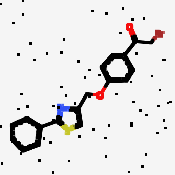 O=C(CBr)c1ccc(OCc2csc(-c3ccccc3)n2)cc1